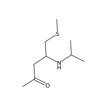 CSCC(CC(C)=O)NC(C)C